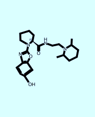 CC1CCCC(C)N1CCNC(=O)[C@@H]1CCCCN1c1nc2ccc(O)cc2o1